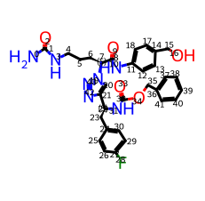 NC(=O)NCCC[C@@H](C(=O)Nc1ccc(CO)cc1)n1cc([C@H](Cc2ccc(F)cc2)NC(=O)OCc2ccccc2)nn1